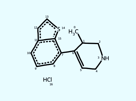 CC1CNCC=C1c1cccc2ccsc12.Cl